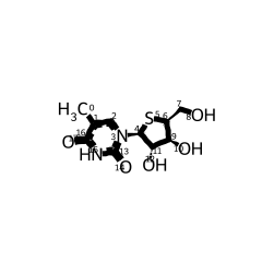 Cc1cn([C@H]2S[C@@H](CO)[C@@H](O)[C@@H]2O)c(=O)[nH]c1=O